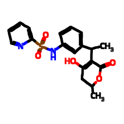 CC1CC(O)=C(C(C)c2cccc(NS(=O)(=O)c3ccccn3)c2)C(=O)O1